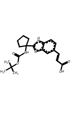 CC(C)(C)OC(=O)NC1(c2nc3cc(C=CC(=O)O)ccc3[nH]2)CCCC1